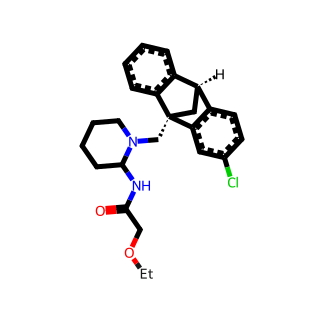 CCOCC(=O)NC1CCCCN1C[C@@]12C[C@@H](c3ccccc31)c1ccc(Cl)cc12